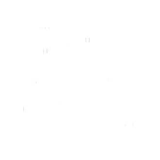 CC1=CCCC(c2c(O)cc(C(C)(C)CO)cc2OC(C)C)C1